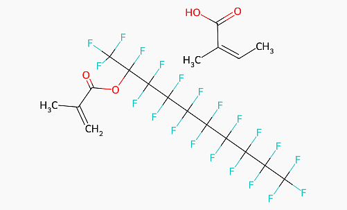 C=C(C)C(=O)OC(F)(C(F)(F)F)C(F)(F)C(F)(F)C(F)(F)C(F)(F)C(F)(F)C(F)(F)C(F)(F)C(F)(F)F.CC=C(C)C(=O)O